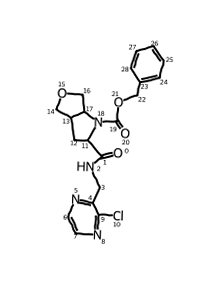 O=C(NCc1nccnc1Cl)C1CC2COCC2N1C(=O)OCc1ccccc1